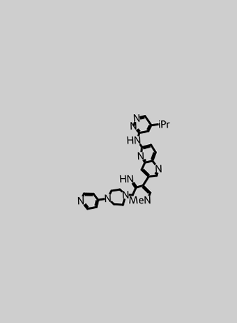 CN/C=C(\C(=N)CN1CCN(c2ccncc2)CC1)c1cnc2ccc(Nc3cc(C(C)C)cnn3)nc2c1